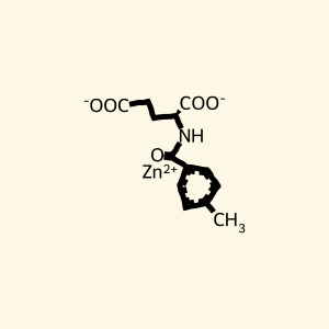 Cc1ccc(C(=O)N[C@@H](CCC(=O)[O-])C(=O)[O-])cc1.[Zn+2]